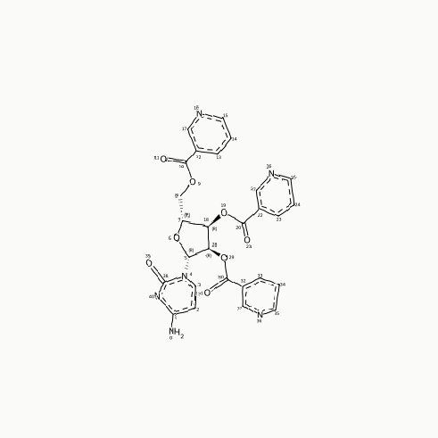 Nc1ccn([C@@H]2O[C@H](COC(=O)c3cccnc3)[C@@H](OC(=O)c3cccnc3)[C@H]2OC(=O)c2cccnc2)c(=O)n1